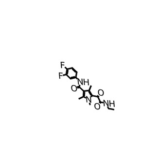 CCNC(=O)C(=O)c1c(C)c(C(=O)Nc2ccc(F)c(F)c2)c(C)n1C